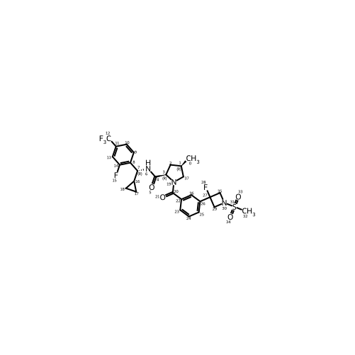 C[C@@H]1C[C@H](C(=O)N[C@@H](c2ccc(C(F)(F)F)cc2F)C2CC2)N(C(=O)c2cccc(C3(F)CN(S(C)(=O)=O)C3)c2)C1